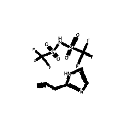 C=CCc1ncc[nH]1.O=S(=O)(NS(=O)(=O)C(F)(F)F)C(F)(F)F